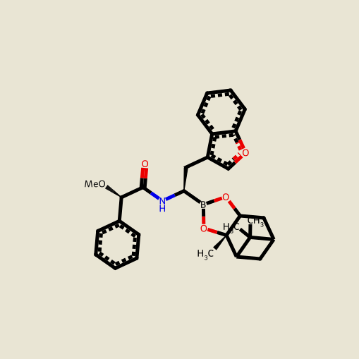 CO[C@@H](C(=O)N[C@@H](Cc1coc2ccccc12)B1OC2CC3CC(C3(C)C)[C@]2(C)O1)c1ccccc1